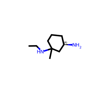 CCNC1(C)CCC[C@@H](N)C1